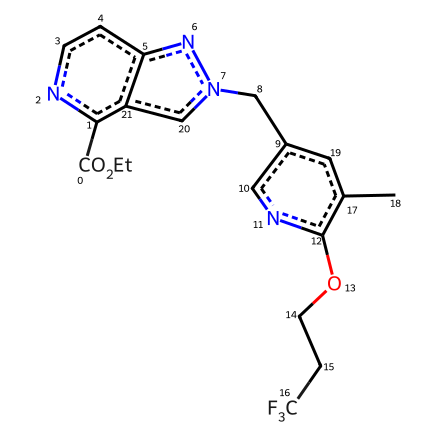 CCOC(=O)c1nccc2nn(Cc3cnc(OCCC(F)(F)F)c(C)c3)cc12